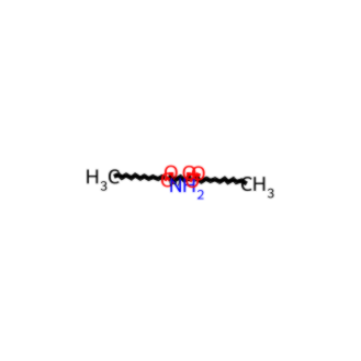 CCCCCCCCCCCCOC(=O)[C@@H](N)CCC(=O)OC(=O)CCCCCCCCCCC